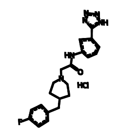 Cl.O=C(CN1CCC(Cc2ccc(F)cc2)CC1)Nc1cccc(-c2nnn[nH]2)c1